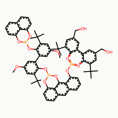 COc1cc(-c2cc(OC)cc(C(C)(C)C)c2OP2Oc3cccc4cc5cccc(Op6oc7c(C(C)(C)C)cc(CO)cc7c7cc(CO)cc(C(C)(C)C)c7o6)c5c(c34)O2)c(OP2Oc3cccc4cccc(c34)O2)c(C(C)(C)C)c1